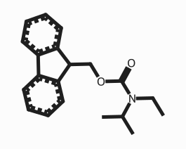 CCN(C(=O)OCC1c2ccccc2-c2ccccc21)C(C)C